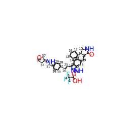 O=C(O)C(F)(F)F.O=C1NCC(c2ccccc2)/C1=C\c1ccc2c(/C=C/c3ccc(CN[C@@H]4CCOC4)cc3)n[nH]c2c1